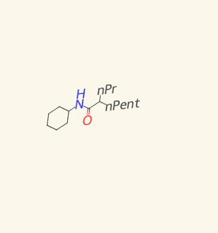 CCCCCC(CCC)C(=O)NC1CCCCC1